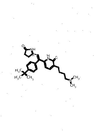 CN(C)CCCCc1ccc(C(=C[C@H]2CCC(=O)N2)c2ccc(C(C)(C)C)cc2)[nH]c1=O